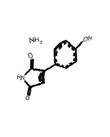 N.O=C1C=C(c2ccc(O)cc2)C(=O)N1